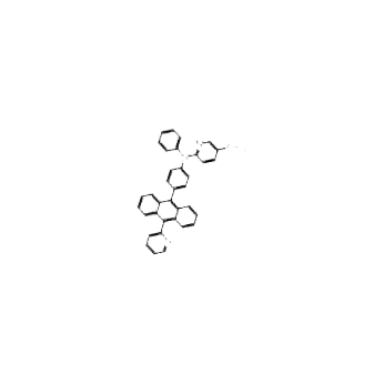 CC(C)(C)c1ccc(N(c2ccccc2)c2ccc(-c3c4ccccc4c(-c4ccccn4)c4ccccc34)cc2)nc1